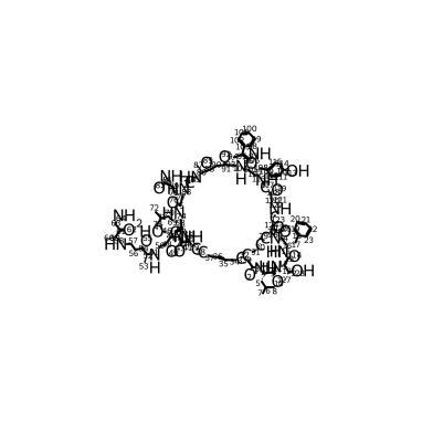 CC(=O)N[C@@H](CC(C)C)C(=O)N[C@H](C(=O)N[C@@H](Cc1ccccc1)C(=O)N[C@]1(C)CCCCCC/C=C/CCC[C@@](C)(C(=O)N[C@@H](CO)C(=O)CN[C@@H](C)C(=O)CCN[C@@H](C)C(=O)CN)NC(=O)[C@H](CCC(C)C)NC(=O)[C@H](CCC(N)=O)NCN[C@@H](C)C(=O)CC(=O)[C@H](Cc2c[nH]c3ccccc23)NC(=O)[C@H](Cc2ccc(O)cc2)NCC(=O)[C@H](C)NCC1=O)[C@@H](C)O